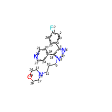 Fc1ccc(-c2ncn(CCCN3CCOCC3)c2-c2ccncc2)cc1